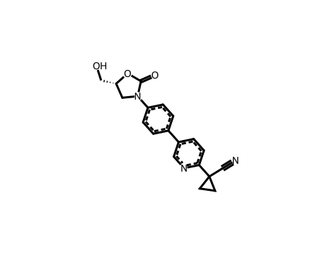 N#CC1(c2ccc(-c3ccc(N4C[C@H](CO)OC4=O)cc3)cn2)CC1